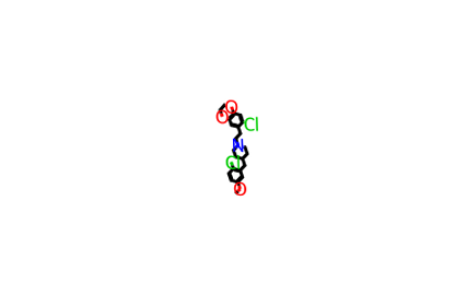 COc1ccc(Cl)c(CC2CCN(CCc3cc4c(cc3Cl)OCCO4)CC2)c1